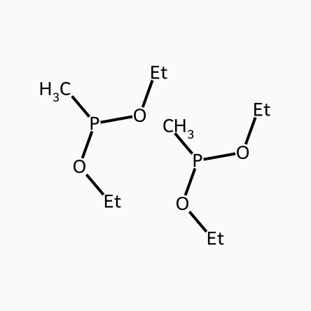 CCOP(C)OCC.CCOP(C)OCC